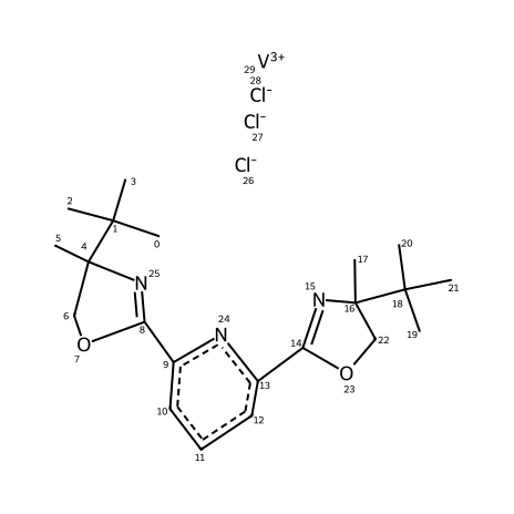 CC(C)(C)C1(C)COC(c2cccc(C3=NC(C)(C(C)(C)C)CO3)n2)=N1.[Cl-].[Cl-].[Cl-].[V+3]